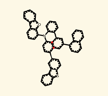 c1cc(-c2ccccc2N(c2ccc(-c3ccc4sc5ccccc5c4c3)cc2)c2cccc3c2oc2ccccc23)cc(-c2cccc3ccccc23)c1